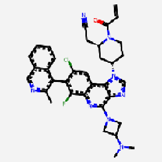 C=CC(=O)N1CC[C@H](n2cnc3c(N4CC(N(C)C)C4)nc4c(F)c(-c5c(C)ncc6ccccc56)c(Cl)cc4c32)C[C@H]1CC#N